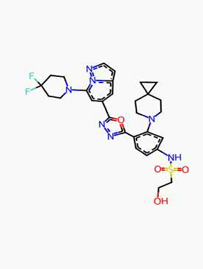 O=S(=O)(CCO)Nc1ccc(-c2nnc(-c3cc(N4CCC(F)(F)CC4)n4nccc4c3)o2)c(N2CCC3(CC2)CC3)c1